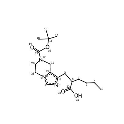 CCCCC(Cc1ncn2c1CN(C(=O)OC(C)(C)C)CC2)C(=O)O